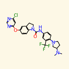 CN(C)C1CCN(c2ccc(NC(=O)N3CCc4cc(Oc5cc(Cl)ncn5)ccc43)cc2C(F)(F)F)C1